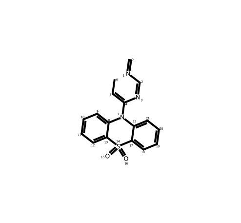 C=N/C=N\C(=C/C)N1c2ccccc2S(=O)(=O)c2ccccc21